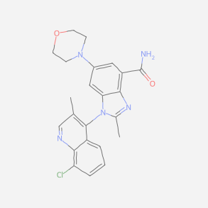 Cc1cnc2c(Cl)cccc2c1-n1c(C)nc2c(C(N)=O)cc(N3CCOCC3)cc21